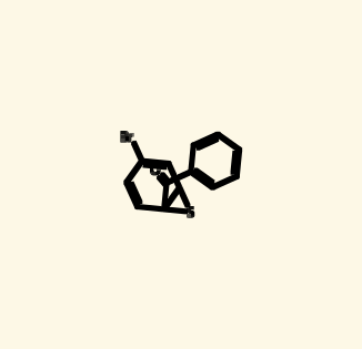 O=C(c1ccccc1)C12C=CC(Br)=CC1S2